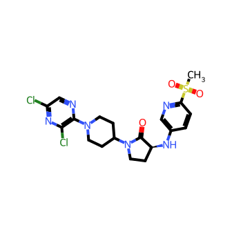 CS(=O)(=O)c1ccc(N[C@H]2CCN(C3CCN(c4ncc(Cl)nc4Cl)CC3)C2=O)cn1